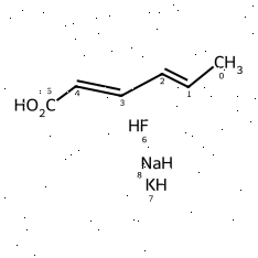 C/C=C/C=C/C(=O)O.F.[KH].[NaH]